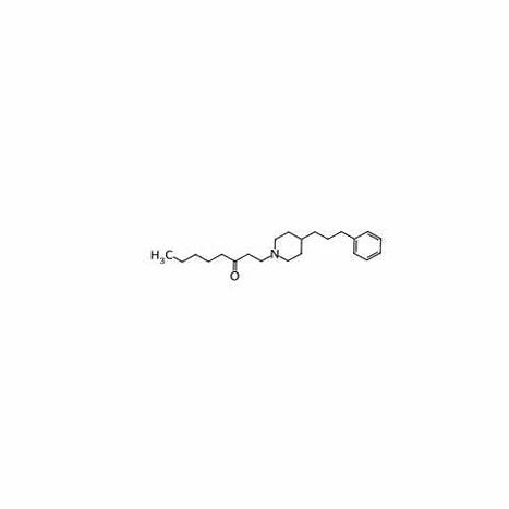 CCCCCC(=O)CCN1CCC(CCCc2ccccc2)CC1